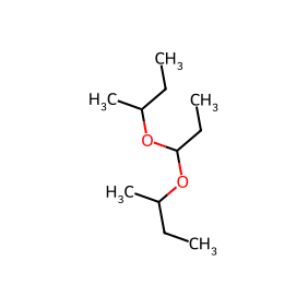 CCC(C)OC(CC)OC(C)CC